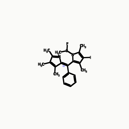 CB(F)n1c(C)c(I)c(C)c1/C(=C1\N=C(C)C(C)=C1C)c1ccccc1